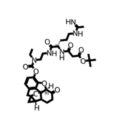 CCN(CCNC(=O)[C@H](CCCNC(C)=N)NC(=O)CC(=O)OC(C)(C)C)C(=O)Oc1ccc2c3c1O[C@H]1C(=O)CCC4[C@@H]5CC5(C2)C[C@@]341